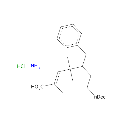 CCCCCCCCCCCCC(Cc1ccccc1)C(C)(C)/C=C(\C)C(=O)O.Cl.N